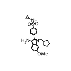 COc1ccc2c(N)c(-c3ccc(S(=O)(=O)NC4CC4)cc3)n(CC3CCCC3)c2c1